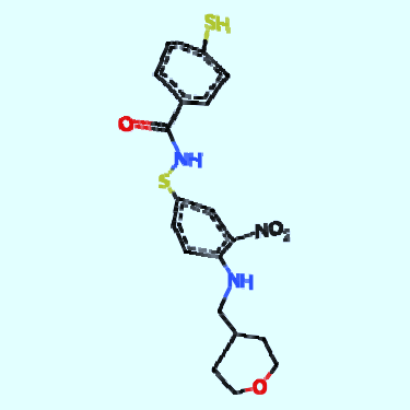 O=C(NSc1ccc(NCC2CCOCC2)c([N+](=O)[O-])c1)c1ccc(S)cc1